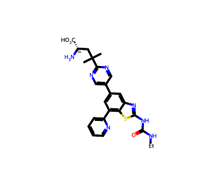 CCNC(=O)Nc1nc2cc(-c3cnc(C(C)(C)C[C@H](N)C(=O)O)nc3)cc(-c3ccccn3)c2s1